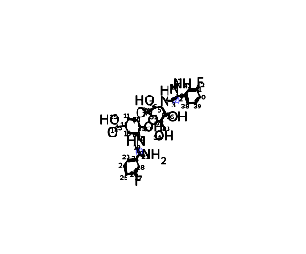 N=N/C(=C\NC1C(O)[C@H](O[C@@H]2CC(C(=O)O)C[C@@H](N/C=C(\N)c3cccc(F)c3)C2O)OC(CO)[C@@H]1O)c1cccc(F)c1